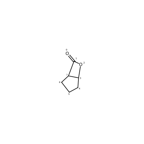 O=C1OC2CCCC12